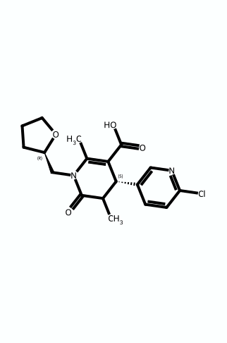 CC1=C(C(=O)O)[C@H](c2ccc(Cl)nc2)C(C)C(=O)N1C[C@H]1CCCO1